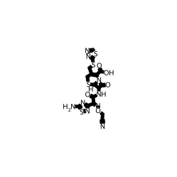 N#CCON=C(C(=O)NC1C(=O)N2C(C(=O)O)=C(CSc3nncs3)CS[C@@H]12)c1nsc(N)n1